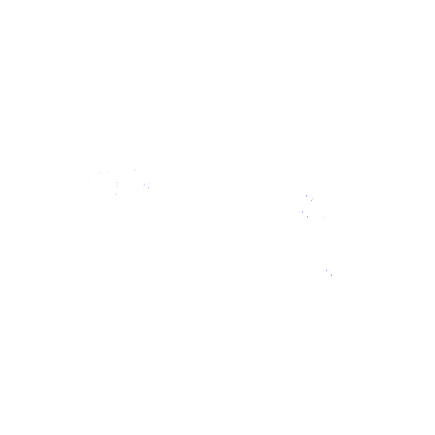 Cc1nn(CCCCCCCC#Cc2cccc(C(=O)OC(C)(C)C)n2)c2cc(C(N)=O)ccc12